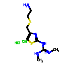 C/N=C(/NC)Nc1nc(CSCCN)cs1.Cl.Cl